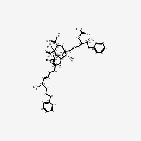 CC(=O)OC(CCC[C@]12O[C@H](C(=O)O)[C@@](O)(C(=O)O)[C@](C(=O)O)(O1)[C@H](OC(=O)CC/C=C/[C@H](C)CCCc1ccccc1)[C@H]2O)C(C)Cc1ccccc1